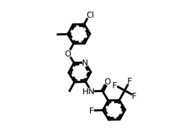 Cc1cc(Oc2ccc(Cl)cc2C)ncc1NC(=O)c1c(F)cccc1C(F)(F)F